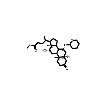 COC(=O)CCC(C)C1CCC2C3C(C[C@H](O)[C@]12C)[C@@]1(C)CCC(=O)C[C@H]1C[C@H]3OC1CCCCO1